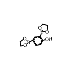 Oc1ccc(B2OCCO2)cc1B1OCCO1